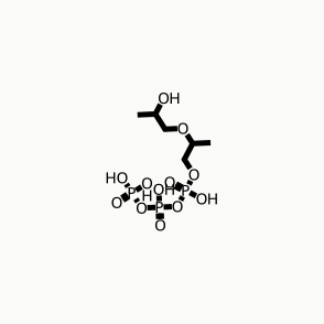 CC(O)COC(C)COP(=O)(O)OP(=O)(O)OP(=O)(O)O